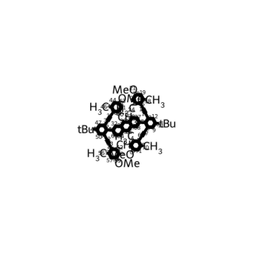 COc1cc(C)c(C#Cc2cc(C(C)(C)C)cc(C#Cc3c(C)cc(OC)cc3C)c2-c2ccc3cc4cc(-c5c(C#Cc6c(C)cc(OC)cc6C)cc(C(C)(C)C)cc5C#Cc5c(C)cc(OC)cc5C)ccc4cc3c2)c(C)c1